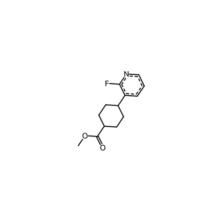 COC(=O)C1CCC(c2cccnc2F)CC1